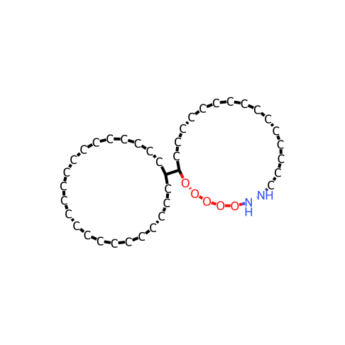 C1CCCCCCCCCCCC(C2CCCCCCCCCCCCCCCNNOOOOO2)CCCCCCCCCC1